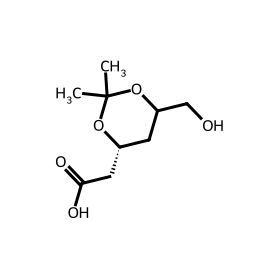 CC1(C)OC(CO)C[C@H](CC(=O)O)O1